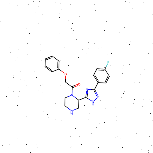 O=C(COc1ccccc1)N1CCNCC1c1nc(-c2ccc(F)cc2)n[nH]1